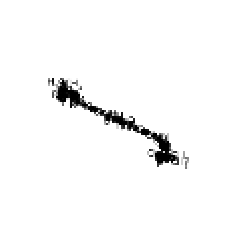 CN(C)[C@H]1Cc2c(F)cc(Cl)cc2[C@@H]1Oc1ccc(S(=O)(=O)NCCOCCOCCNC(=O)NCCCCNC(=O)NCCOCCOCCNS(=O)(=O)c2ccc(O[C@H]3c4cc(Cl)cc(F)c4C[C@@H]3N(C)C)cc2)cc1